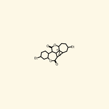 CCC1CCC2C(C1)OC(=O)C1C3CC(CC)CCC4OC(=O)C2C1[C@H]43